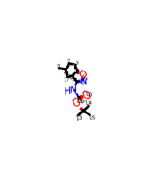 Cc1ccc2onc(NC(=O)OC(C)(C)C)c2c1